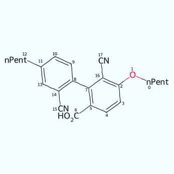 CCCCCOc1ccc(C(=O)O)c(-c2ccc(CCCCC)cc2C#N)c1C#N